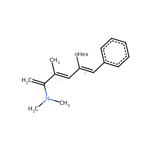 C=C(/C(C)=C/C(=C/c1ccccc1)CCCCCC)N(C)C